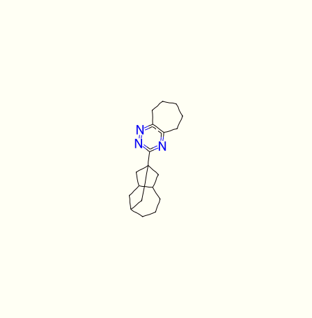 C1CCc2nnc(C34CC5CCCC(C3)C(C5)C4)nc2CC1